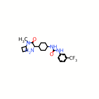 CN(C(=O)[C@@H](N)C1CCC(NC(=O)Nc2cccc(C(F)(F)F)c2)CC1)C1CCC1